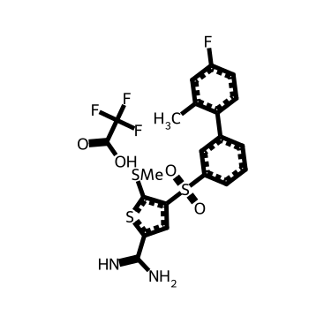 CSc1sc(C(=N)N)cc1S(=O)(=O)c1cccc(-c2ccc(F)cc2C)c1.O=C(O)C(F)(F)F